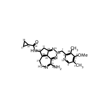 COc1c(C)cnc(CN2N=C3CC(NC(=O)C4CC4)C4=C3C(=N2)C(N)=NSC4)c1C